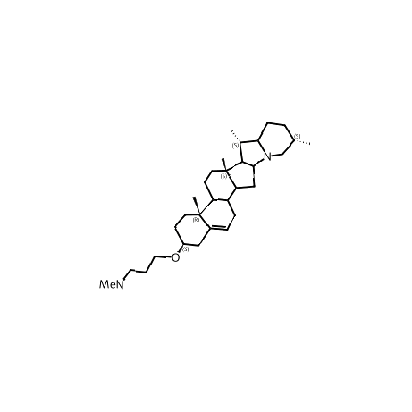 CNCCCO[C@H]1CC[C@@]2(C)C(=CCC3C4CC5C([C@H](C)C6CC[C@H](C)CN56)[C@@]4(C)CCC32)C1